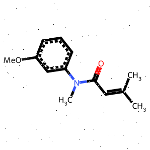 COc1cccc(N(C)C(=O)C=C(C)C)c1